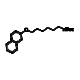 CCCCCCCCCCCCCCCCOc1ccc2ccccc2c1